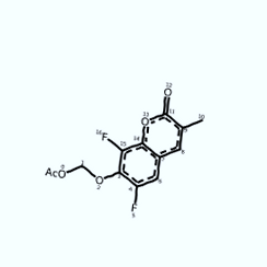 CC(=O)OCOc1c(F)cc2cc(C)c(=O)oc2c1F